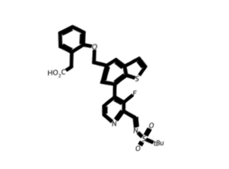 CC(C)(C)S(=O)(=O)N=Cc1nccc(-c2cc(COc3ccccc3CC(=O)O)cc3ccsc23)c1F